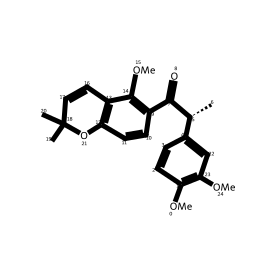 COc1ccc([C@@H](C)C(=O)c2ccc3c(c2OC)C=CC(C)(C)O3)cc1OC